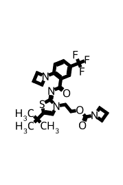 CC(C)(C)c1cn(CCOC(=O)N2CCC2)c(=NC(=O)c2cc(C(F)(F)F)ccc2N2CCC2)s1